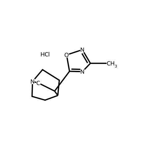 Cc1noc(C2CN3CCC2CC3)n1.Cl